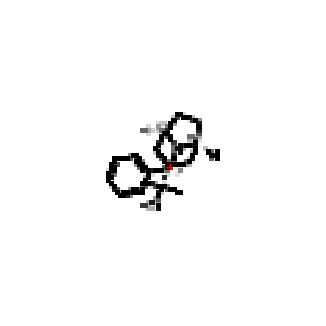 CC(C)(O)[C@@H]1C[C@H]2CC[C@@H](C1)N2Cc1ccccc1